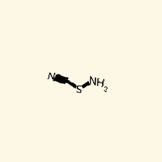 N#CSN